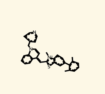 Cc1cccc(C)c1-c1ccc2c(c1)sc(C=C1C=CN(Cc3ccncc3)c3ccccc31)[n+]2C